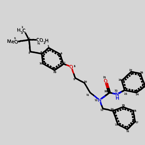 COC(C)(Cc1ccc(OCCCN(Cc2ccccc2)C(=O)Nc2ccccc2)cc1)C(=O)O